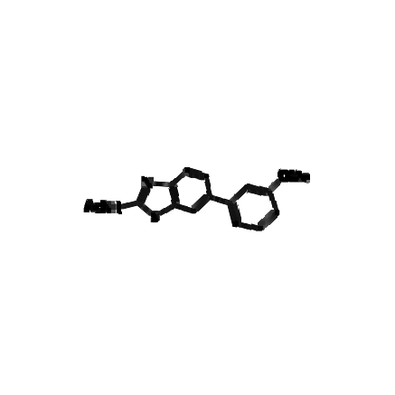 COc1cccc(-c2ccc3nc(NC(C)=O)sc3c2)c1